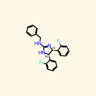 Fc1ccccc1[C@H]1NC(NCc2ccccc2)=N[C@H]1c1ccccc1F